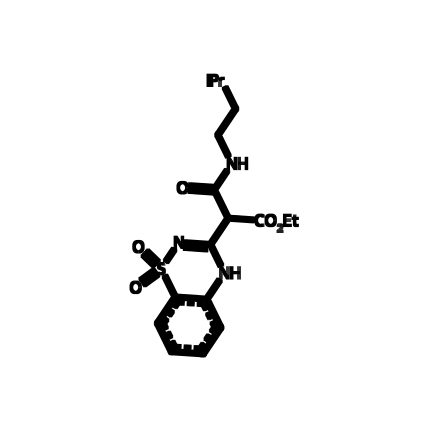 CCOC(=O)C(C(=O)NCCC(C)C)C1=NS(=O)(=O)c2ccccc2N1